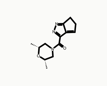 C[C@@H]1CN(C(=O)C2=NN=C3CCC=C32)C[C@H](C)O1